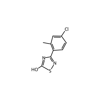 Cc1cc(Cl)ccc1-c1nsc(O)n1